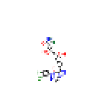 Cn1cnc(C2CC3CC(O)(C#CC4(O)CC(C(N)=O)(C(F)F)C4)CC3C2)c1C(=O)Nc1ccc(F)c(Cl)c1